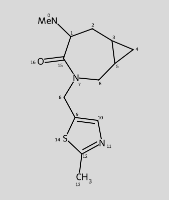 CNC1CC2CC2CN(Cc2cnc(C)s2)C1=O